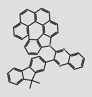 CC1(C)c2ccccc2-c2ccc(-c3nc4ccccc4nc3-n3c4cccc5c4c4c6c(ccc7ccc8cccc-5c8c76)ccc43)cc21